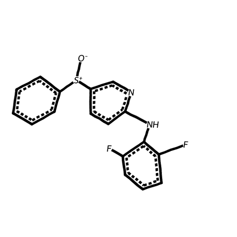 [O-][S+](c1ccccc1)c1ccc(Nc2c(F)cccc2F)nc1